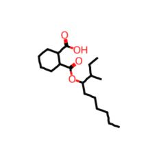 CCCCCCC(OC(=O)C1CCCCC1C(=O)O)C(C)CC